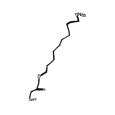 CCCCCCCCCCCCCCCCCCOC(=S)CSC